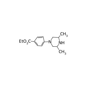 CCOC(=O)c1ccc(N2CC(C)NC(C)C2)cc1